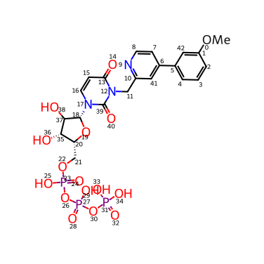 COc1cccc(-c2ccnc(Cn3c(=O)ccn([C@@H]4O[C@H](COP(=O)(O)OP(=O)(O)OP(=O)(O)O)[C@H](O)C4O)c3=O)c2)c1